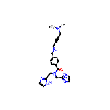 CCCN(CC#CCNCc1ccc(C(=O)N(Cc2ncc[nH]2)Cc2ncc[nH]2)cc1)CCC